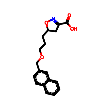 O=C(O)C1=NOC(CCCOCc2ccc3ccccc3c2)C1